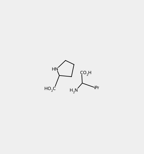 CC(C)C(N)C(=O)O.O=C(O)C1CCCN1